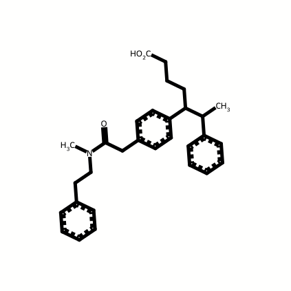 CC(c1ccccc1)C(CCCC(=O)O)c1ccc(CC(=O)N(C)CCc2ccccc2)cc1